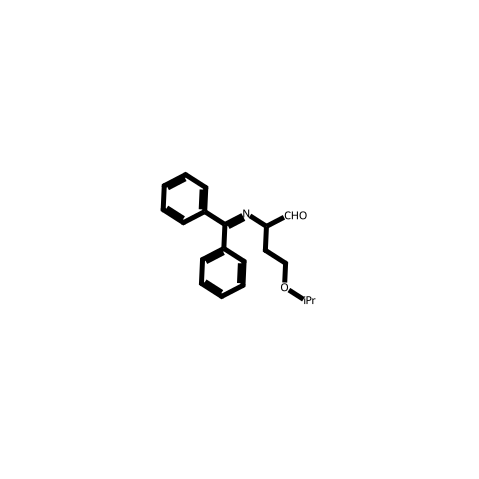 CC(C)OCCC(C=O)N=C(c1ccccc1)c1ccccc1